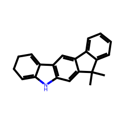 CC1(C)c2ccccc2-c2cc3c4c([nH]c3cc21)=CCCC=4